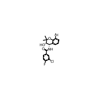 CC(=O)c1cccc2c1OC(C)(C)[C@@H](O)[C@H]2NC(=O)c1ccc(F)c(Cl)c1